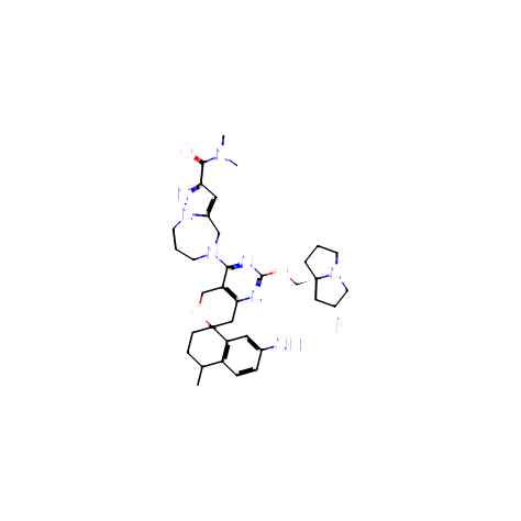 CC1CCC2(Cc3nc(OC[C@@]45CCCN4C[C@H](F)C5)nc(N4CCCn5nc(C(=O)N(C)C)cc5C4)c3CO2)c2cc(N)ccc21